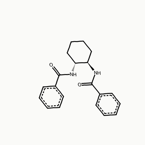 O=C(N[C@@H]1CCCC[C@H]1NC(=O)c1ccccc1)c1ccccc1